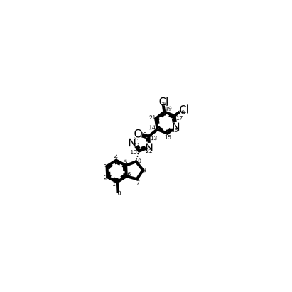 Cc1cccc2c1CC[C@H]2c1noc(-c2cnc(Cl)c(Cl)c2)n1